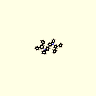 c1ccc(-c2cc(-c3ccccc3)cc(-n3c4ccccc4c4ccc(-c5ccc6c7ccccc7n(-c7cc(-c8ccccc8)cc(-c8ccccc8)c7)c6c5)cc43)c2)cc1